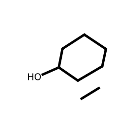 CC.OC1CCCCC1